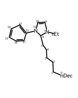 CCCCCCCCCCCCCCCC1N(CC)C=CN1c1ccccc1